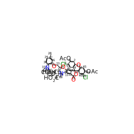 CC(=O)Oc1cc2c(cc1Cl)C1(OC(=O)c3cc(N(CC(=O)O)CC(=O)O)c(OCCOc4cc(C)ccc4N(CC(=O)O)CC(=O)O)cc31)c1cc(Cl)c(OC(C)=O)cc1O2